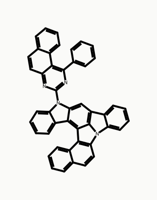 c1ccc(-c2nc(-n3c4ccccc4c4c5c6c7ccccc7ccc6n6c7ccccc7c(cc43)c56)nc3ccc4ccccc4c23)cc1